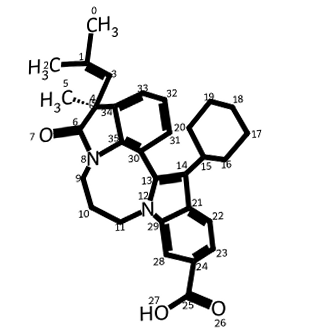 CC(C)=C[C@]1(C)C(=O)N2CCCn3c(c(C4CCCCC4)c4ccc(C(=O)O)cc43)-c3cccc1c32